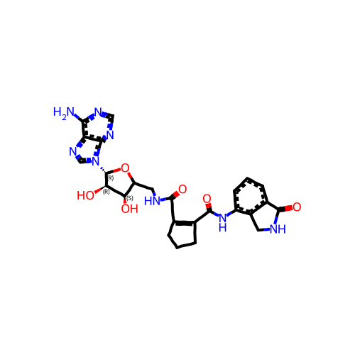 Nc1ncnc2c1ncn2[C@@H]1OC(CNC(=O)C2=C(C(=O)Nc3cccc4c3CNC4=O)CCC2)[C@@H](O)[C@H]1O